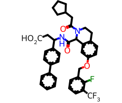 O=C(O)CC(NC(=O)C1c2cc(OCc3cccc(C(F)(F)F)c3F)ccc2CCN1C(=O)CC1CCCC1)c1ccc(-c2ccccc2)cc1